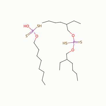 CCCCC(CC)COP(=S)(S)OCC(CC)CCCC.CCCCCCCCOP(O)(=S)S